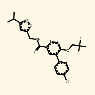 CC(C)c1cc(CNC(=O)c2cc(-c3ccc(Cl)cc3)c(OCC(F)(F)F)nn2)on1